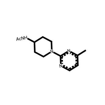 CC(=O)NC1CCN(c2nccc(C)n2)CC1